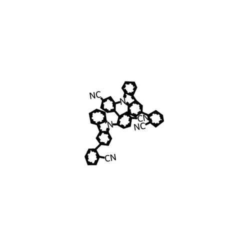 N#Cc1ccc(-n2c3ccccc3c3cc(-c4ccccc4C#N)ccc32)c(-c2ccc(C#N)cc2-n2c3ccccc3c3cc(-c4ccccc4C#N)ccc32)c1